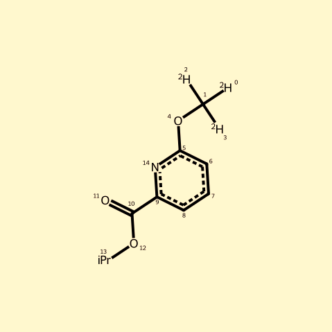 [2H]C([2H])([2H])Oc1cccc(C(=O)OC(C)C)n1